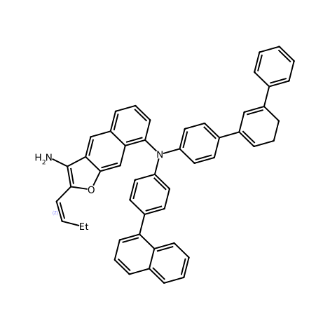 CC/C=C\c1oc2cc3c(N(c4ccc(C5=CCCC(c6ccccc6)=C5)cc4)c4ccc(-c5cccc6ccccc56)cc4)cccc3cc2c1N